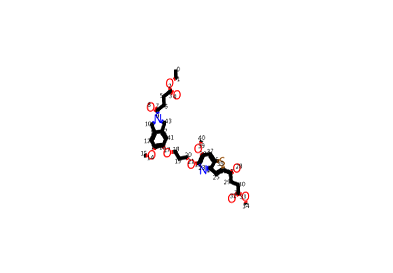 CCOC(=O)CCC(=O)N1Cc2cc(OC)c(OCCCOc3nc4cc(C(=O)CCC(=O)OC)sc4cc3OC)cc2C1